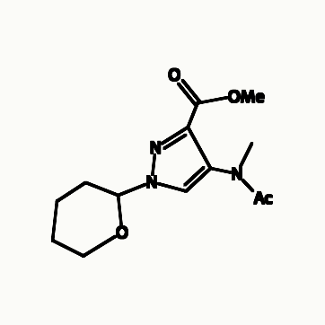 COC(=O)c1nn(C2CCCCO2)cc1N(C)C(C)=O